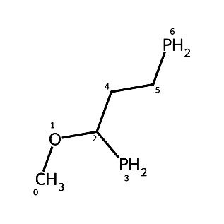 COC(P)CCP